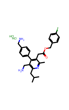 Cc1nc(CC(C)C)c(CN)c(-c2ccc(CN)cc2)c1CC(=O)OCc1ccc(F)cc1.Cl.Cl